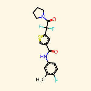 Cc1cc(NC(=O)c2csc(C(F)(F)C(=O)N3CCCC3)c2)ccc1F